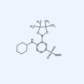 CNS(=O)(=O)c1ccc(NC2CCCCC2)c(B2OC(C)(C)C(C)(C)O2)c1